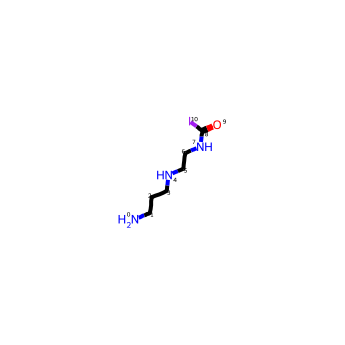 NCCCNCCNC(=O)I